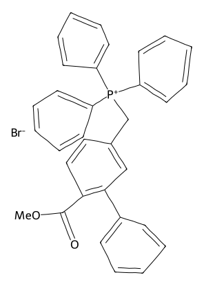 COC(=O)c1ccc(C[P+](c2ccccc2)(c2ccccc2)c2ccccc2)cc1-c1ccccc1.[Br-]